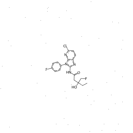 CCC(O)(CF)CC(=O)Nc1nc2ccc(Cl)nc2n1-c1ccc(F)cc1